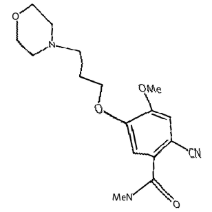 CNC(=O)c1cc(OCCCN2CCOCC2)c(OC)cc1C#N